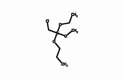 CCCO[Si](CCl)(OC)OCC